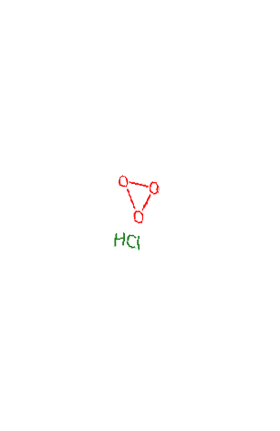 Cl.o1oo1